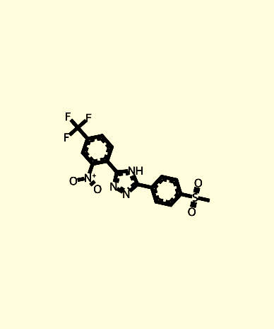 CS(=O)(=O)c1ccc(-c2nnc(-c3ccc(C(F)(F)F)cc3[N+](=O)[O-])[nH]2)cc1